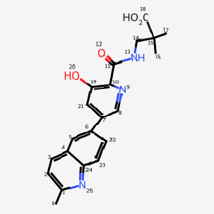 Cc1ccc2cc(-c3cnc(C(=O)NCC(C)(C)C(=O)O)c(O)c3)ccc2n1